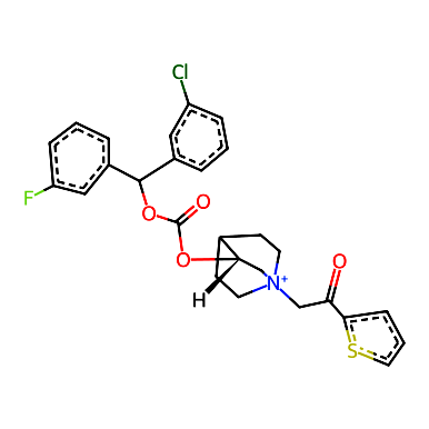 O=C(OC(c1cccc(F)c1)c1cccc(Cl)c1)O[C@H]1C[N+]2(CC(=O)c3cccs3)CCC1CC2